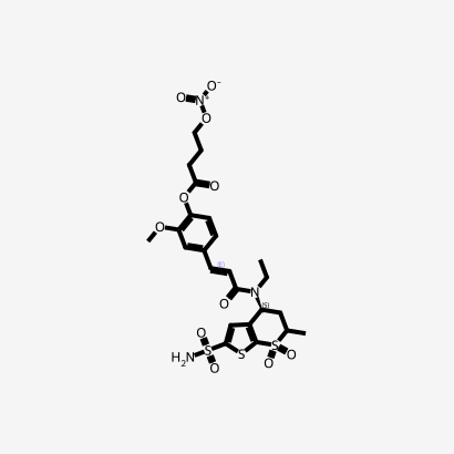 CCN(C(=O)/C=C/c1ccc(OC(=O)CCCO[N+](=O)[O-])c(OC)c1)[C@H]1CC(C)S(=O)(=O)c2sc(S(N)(=O)=O)cc21